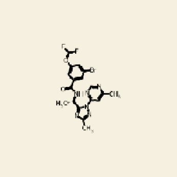 Cc1cc(-n2nc(C)nc2[C@H](C)NC(=O)c2cc(Br)cc(OC(F)F)c2)ncn1